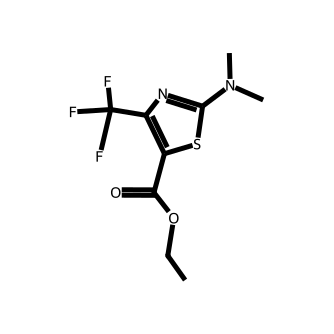 CCOC(=O)c1sc(N(C)C)nc1C(F)(F)F